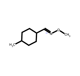 CO/N=C/C1CCC(C)CC1